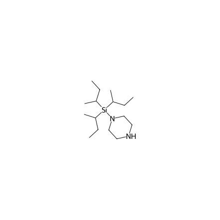 CCC(C)[Si](C(C)CC)(C(C)CC)N1CCNCC1